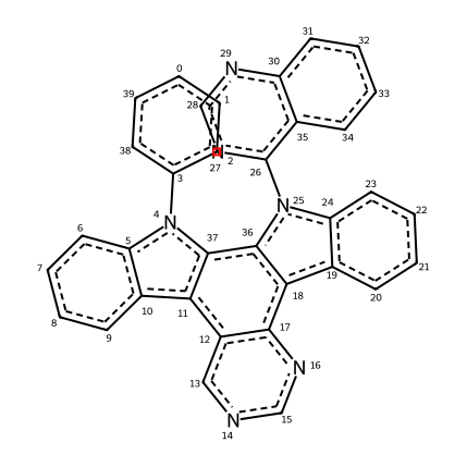 c1ccc(-n2c3ccccc3c3c4cncnc4c4c5ccccc5n(-c5ncnc6ccccc56)c4c32)cc1